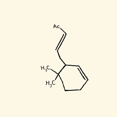 CC(=O)/C=C/C1C=CCCC1(C)C